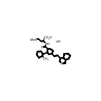 CSCC[C@H](NC(=O)c1ccc(C=Cc2cncc3ccccc23)cc1-c1ccccc1C)C(=O)O.[LiH]